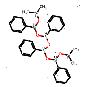 C[SiH](C)O[SiH](O[SiH](O[SiH](O[SiH](O[SiH](C)C)c1ccccc1)c1ccccc1)c1ccccc1)c1ccccc1